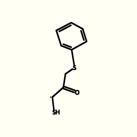 O=C([CH]S)CSc1ccccc1